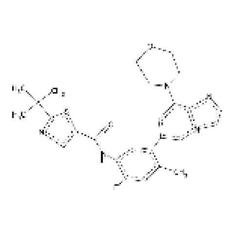 Cc1cc(F)c(NC(=O)c2cnc(C(C)(C)C)s2)cc1-c1cc(N2CCOCC2)c2nccn2c1